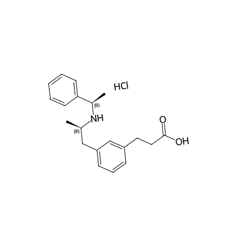 C[C@H](Cc1cccc(CCC(=O)O)c1)N[C@H](C)c1ccccc1.Cl